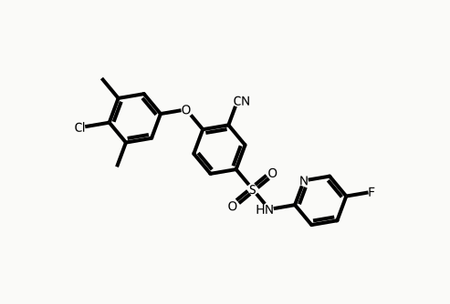 Cc1cc(Oc2ccc(S(=O)(=O)Nc3ccc(F)cn3)cc2C#N)cc(C)c1Cl